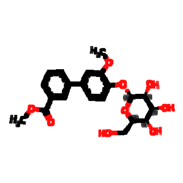 COC(=O)c1cccc(-c2ccc(O[C@H]3O[C@H](CO)[C@@H](O)[C@@H](O)[C@H]3O)c(OC)c2)c1